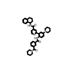 O=C(Nc1ccc(N2CCCCC2)cc1-c1cc(C(=O)NC2CCCc3ccccc32)ccn1)c1cccc(C(=O)N2CCCCC2)c1